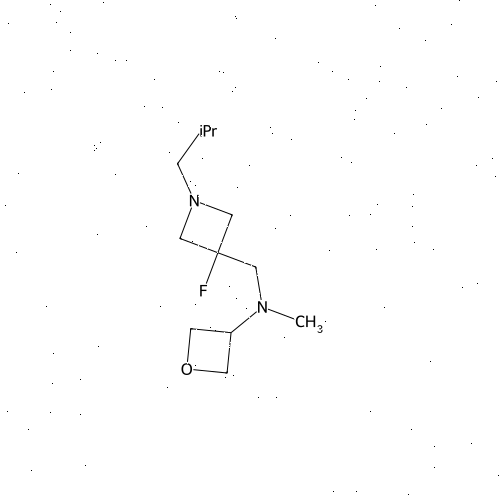 CC(C)CN1CC(F)(CN(C)C2COC2)C1